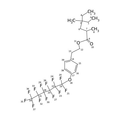 CCC(C)(CC)CC(C)C(=O)OCCc1ccc(OC(F)(F)C(F)(F)C(F)(F)C(F)(F)C(F)(F)C(F)(F)F)cc1